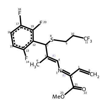 C=C/C(=N\C=C(/C)C(SCCC(F)(F)F)c1c(F)ccc(F)c1F)C(=O)OC